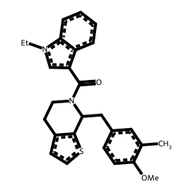 CCn1cc(C(=O)N2CCc3ccsc3C2Cc2ccc(OC)c(C)c2)c2ccccc21